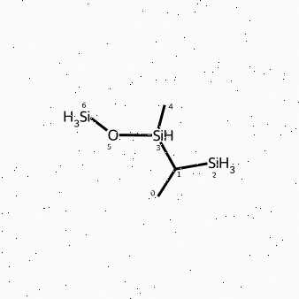 CC([SiH3])[SiH](C)O[SiH3]